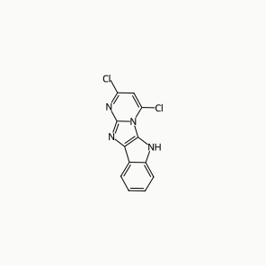 Clc1cc(Cl)n2c(n1)nc1c3ccccc3[nH]c12